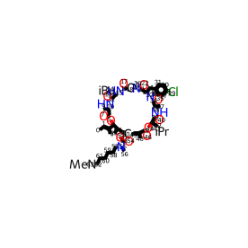 C/C=C(\C)C1OC(=O)C(C)NC(=O)C([C@H](C)CC)NC(=O)CN(C)C(=O)C(Cc2ccc(Cl)cc2)N(C)C(=O)C(C)NC(=O)C(CC(C)C)OC(=O)C(C)=CCC(OC(=O)N(C)CCCCCCNC)C1C